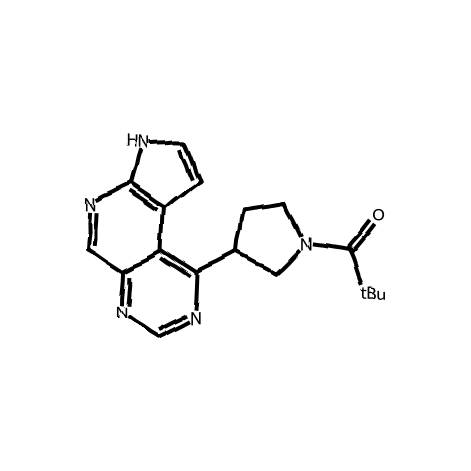 CC(C)(C)C(=O)N1CCC(c2ncnc3cnc4[nH]ccc4c23)C1